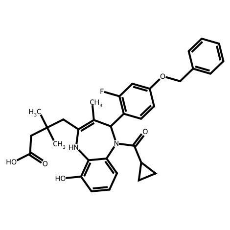 CC1=C(CC(C)(C)CC(=O)O)Nc2c(O)cccc2N(C(=O)C2CC2)C1c1ccc(OCc2ccccc2)cc1F